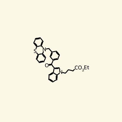 CCOC(=O)CCCn1cc(C(=O)c2cccc(CN3c4ccccc4Sc4ccccc43)c2)c2ccccc21